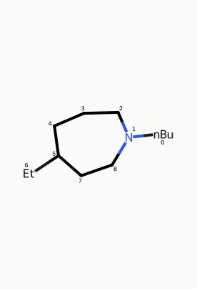 CCCCN1CCCC(CC)CC1